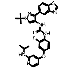 CC(C)Nc1cc(Oc2ccc(NC(=O)Nc3cn(C(C)(C)C)nc3-c3ccc4scnc4c3)c(F)c2)ccn1